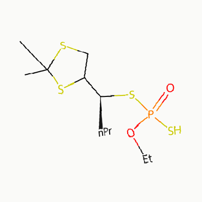 CCC[C@H](SP(=O)(S)OCC)C1CSC(C)(C)S1